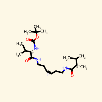 CC(C)[C@H](C)C(=O)NCC/C=C\CCNC(=O)[C@@H](NC(=O)OC(C)(C)C)C(C)C